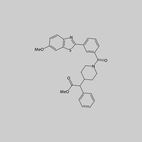 COC(=O)C(c1ccccc1)C1CCN(C(=O)c2cccc(-c3nc4ccc(OC)cc4s3)c2)CC1